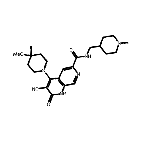 COC1(C)CCN(c2c(C#N)c(=O)[nH]c3cnc(C(=O)NCC4CCN(C)CC4)cc23)CC1